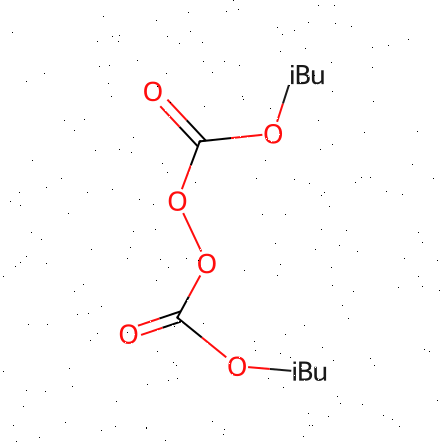 CCC(C)OC(=O)OOC(=O)OC(C)CC